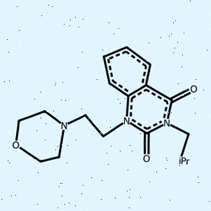 CC(C)Cn1c(=O)c2ccccc2n(CCN2CCOCC2)c1=O